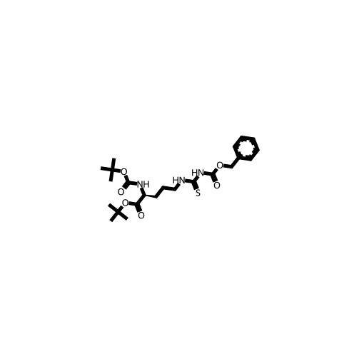 CC(C)(C)OC(=O)N[C@@H](CCCNC(=S)NC(=O)OCc1ccccc1)C(=O)OC(C)(C)C